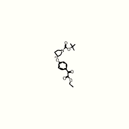 CCOC(=O)C(=O)c1ccc(O[C@@H]2CCN(C(=O)OC(C)(C)C)C2)cc1